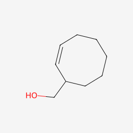 OCC1C=CCCCCC1